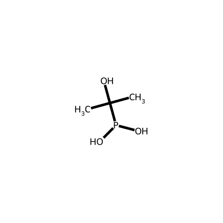 CC(C)(O)P(O)O